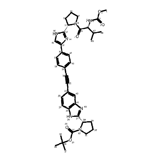 COC(=O)N[C@H](C(=O)N1CCC[C@H]1c1nc(-c2ccc(C#Cc3ccc4[nH]c([C@@H]5CCCN5C(=O)OC(C)(C)C)nc4c3)cc2)c[nH]1)C(C)C